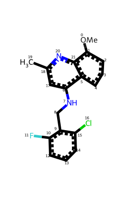 COc1cccc2c(NCc3c(F)cccc3Cl)cc(C)nc12